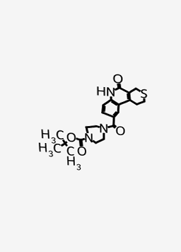 CC(C)(C)OC(=O)N1CCN(C(=O)c2ccc3[nH]c(=O)c4c(c3c2)CCSC4)CC1